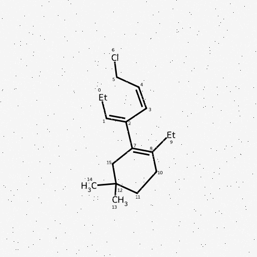 CC/C=C(\C=C/CCl)C1=C(CC)CCC(C)(C)C1